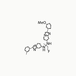 COc1cccc(-c2cn3ccc(NC(C)(CCF)Nc4ccn5cc(-c6cccc(C)c6)nc5c4)cc3n2)c1